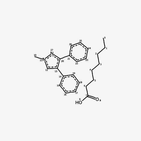 CCCCCCCC(=O)O.Cn1cc(-c2ccccc2)c(-c2ccccc2)n1